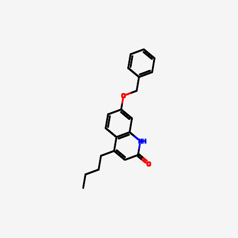 CCCCc1cc(=O)[nH]c2cc(OCc3ccccc3)ccc12